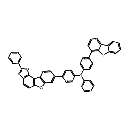 c1ccc(-c2nc3ccc4oc5cc(-c6ccc(N(c7ccccc7)c7ccc(-c8cccc9c8sc8ccccc89)cc7)cc6)ccc5c4c3o2)cc1